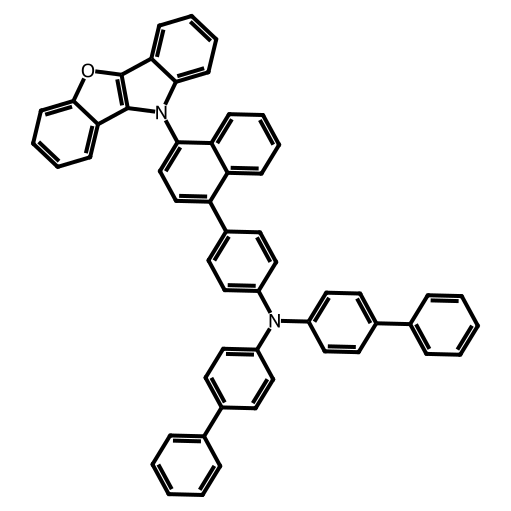 c1ccc(-c2ccc(N(c3ccc(-c4ccccc4)cc3)c3ccc(-c4ccc(-n5c6ccccc6c6oc7ccccc7c65)c5ccccc45)cc3)cc2)cc1